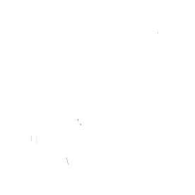 CCN(CC)CCc1ccc(O)cc1